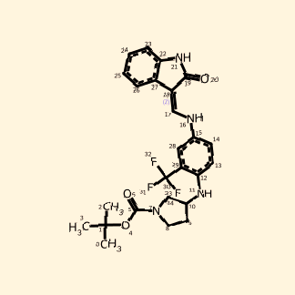 CC(C)(C)OC(=O)N1CCC(Nc2ccc(N/C=C3\C(=O)Nc4ccccc43)cc2C(F)(F)F)C1